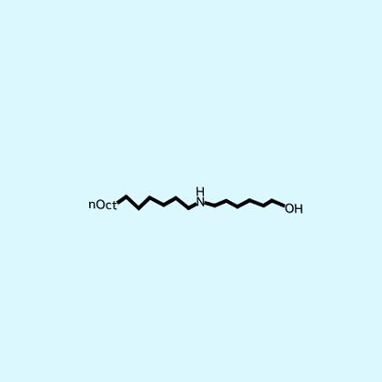 CCCCCCCCCCCCCCNCCCCCCO